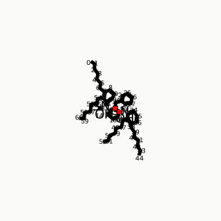 CCCCCCCc1cccc(N(C(O)=S)c2ccccc2Cc2ccccc2N(C(O)=S)c2cccc(CCCCCCC)c2CCCCCCC)c1CCCCCCC